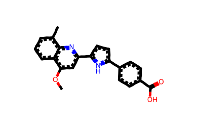 COc1cc(-c2ccc(-c3ccc(C(=O)O)cc3)[nH]2)nc2c(C)cccc12